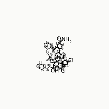 COc1cc(C(N)=O)ccc1N1C(=O)[C@H]2[C@H](c3cccc(Cl)c3F)[C@]3(C(=O)N(C(O)CCC4CCOCC4)c4cc(Cl)ncc43)[C@H](CC(C)(C)C)N2[C@@H]1CCC1CCOCC1